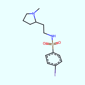 CN1CCCC1CCNS(=O)(=O)c1ccc(I)cc1